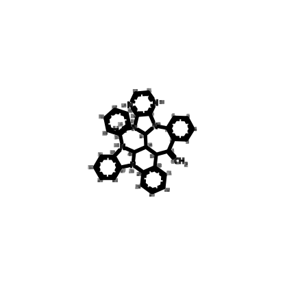 C=C1c2ccccc2N2c3nccnc3N(C)C2C2C1c1ccccc1N1c3ccccc3N(c3ccccc3)C21